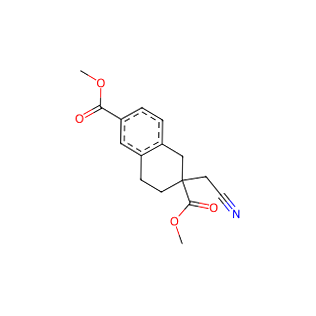 COC(=O)c1ccc2c(c1)CCC(CC#N)(C(=O)OC)C2